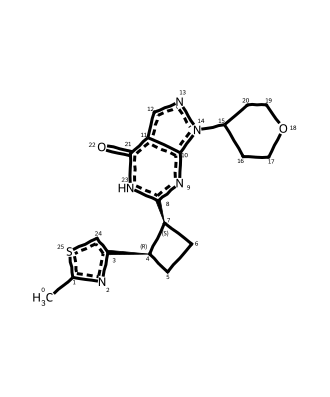 Cc1nc([C@@H]2CC[C@@H]2c2nc3c(cnn3C3CCOCC3)c(=O)[nH]2)cs1